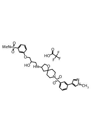 CNS(=O)(=O)c1cccc(OCC(O)CNC2COC3(CCN(S(=O)(=O)c4cccc(-c5cnn(C)c5)c4)CC3)C2)c1.O=C(O)C(F)(F)F